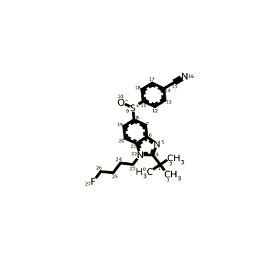 CC(C)(C)c1nc2cc([S+]([O-])c3ccc(C#N)cc3)ccc2n1CCCCF